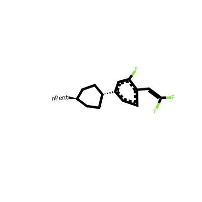 CCCCC[C@H]1CC[C@H](c2ccc(C=C(F)F)c(F)c2)CC1